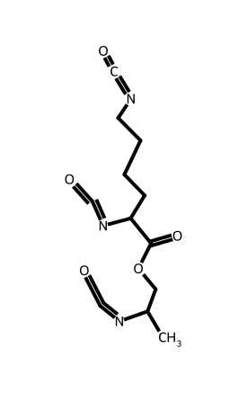 CC(COC(=O)C(CCCCN=C=O)N=C=O)N=C=O